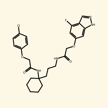 O=C(COc1cc(F)c2cn[nH]c2c1)NCCCC1(NC(=O)COc2ccc(Cl)cc2)CCCCC1